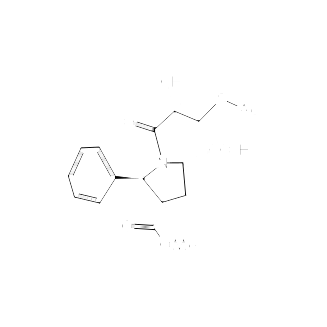 COC(=O)[C@H]1C[C@@H](C(=O)O)N(C(=O)[C@H](C)CSC(C)=O)[C@@H]1c1ccccc1